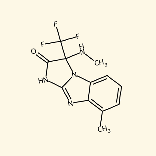 CNC1(C(F)(F)F)C(=O)Nc2nc3c(C)cccc3n21